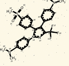 CN(C)c1ccc(-c2c(C(F)(F)F)nn(-c3ccc(N(C)C)cc3)c2-c2ccc(S(C)(=O)=O)cc2)cc1